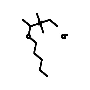 CCCCCOC(C)[N+](C)(C)CC.[Cl-]